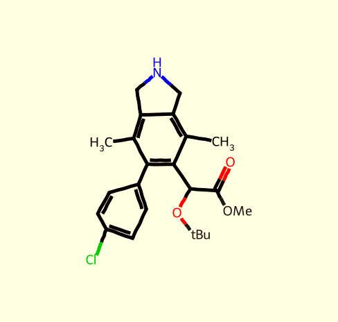 COC(=O)C(OC(C)(C)C)c1c(C)c2c(c(C)c1-c1ccc(Cl)cc1)CNC2